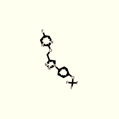 Fc1cnc(OCc2cn(-c3ccc(OC(F)(F)F)cc3)nn2)nc1